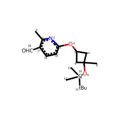 Cc1nc(OC2CC(C)(O[Si](C)(C)C(C)(C)C)C2)ccc1C=O